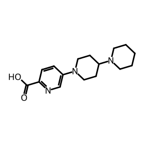 O=C(O)c1ccc(N2CCC(N3CCCCC3)CC2)cn1